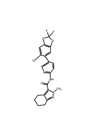 Cn1nc2c(c1C(=O)Nc1ccc(-c3cc4c(cc3Cl)OC(F)(F)O4)cn1)CCCC2